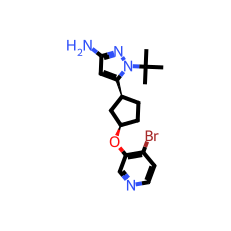 CC(C)(C)n1nc(N)cc1[C@H]1CC[C@@H](Oc2cnccc2Br)C1